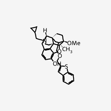 CO[C@]12CC[C@@]3(C[C@]1(C)COCc1cc4ccccc4s1)[C@H]1Cc4ccc(O)c5c4[C@@]3(CCN1CC1CC1)C2O5